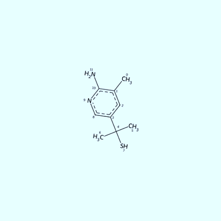 Cc1cc(C(C)(C)S)cnc1N